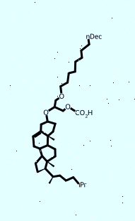 CCCCCCCCCCCCCCCCCCOCC(COC(=O)O)OC1CC[C@@]2(C)C(=CCC3C2CC[C@@]2(C)C3CC[C@@H]2[C@H](C)CCCC(C)C)C1